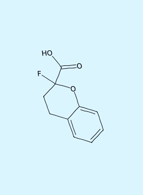 O=C(O)C1(F)CCc2ccccc2O1